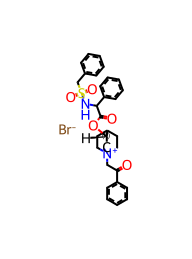 O=C(C[N+]12CCC(CC1)[C@@H](OC(=O)C(NS(=O)(=O)Cc1ccccc1)c1ccccc1)C2)c1ccccc1.[Br-]